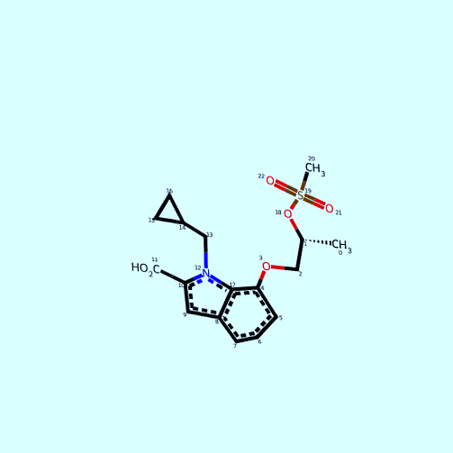 C[C@H](COc1cccc2cc(C(=O)O)n(CC3CC3)c12)OS(C)(=O)=O